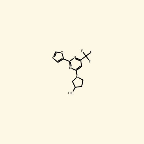 OC1CCN(c2cc(C(F)(F)F)nc(-c3cnco3)n2)C1